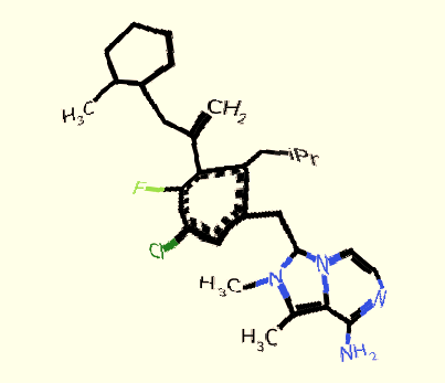 C=C(CC1CCCCC1C)c1c(F)c(Cl)cc(CC2N(C)C(C)=C3C(N)=NC=CN32)c1CC(C)C